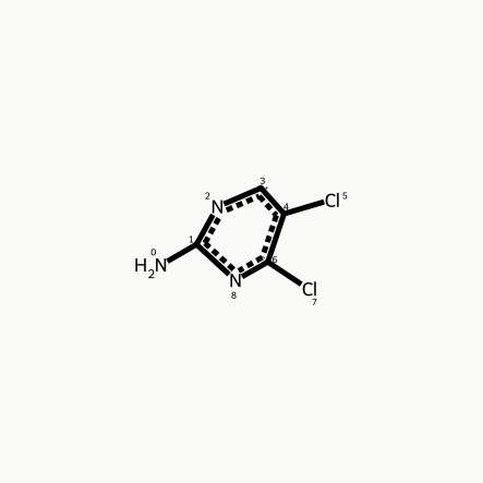 Nc1n[c]c(Cl)c(Cl)n1